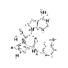 Nc1ncnc2c1cnn2CC(=O)N1[C@@H]2C[C@@H]2C[C@H]1C(=O)Nc1cccc(Br)n1